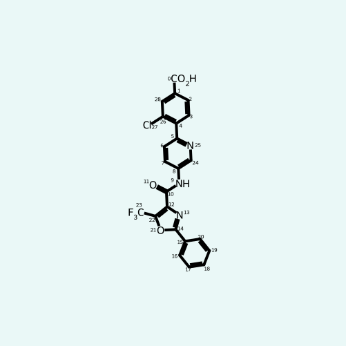 O=C(O)c1ccc(-c2ccc(NC(=O)c3nc(-c4ccccc4)oc3C(F)(F)F)cn2)c(Cl)c1